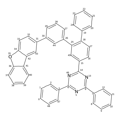 c1ccc(-c2nc(-c3ccccc3)nc(-c3ccc(-c4ccccc4)c(-c4cccc(-c5ccc6oc7ccccc7c6c5)c4)c3)n2)cc1